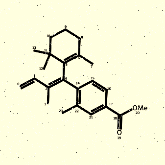 C=CC(C)=C(C1=C(C)CCCC1(C)C)c1ccc(C(=O)OC)cc1C